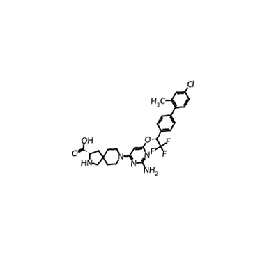 Cc1cc(Cl)ccc1-c1ccc([C@@H](Oc2cc(N3CCC4(CC3)CN[C@H](C(=O)O)C4)nc(N)n2)C(F)(F)F)cc1